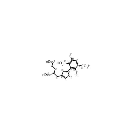 CCCCCCCCCCCCC(CCCCCCCCCC)Cc1csc(-c2c(F)c(C(=O)O)cc(F)c2C(=O)O)c1